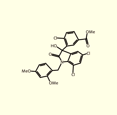 COC(=O)c1ccc(Cl)c(C2(O)C(=O)N(Cc3ccc(OC)cc3OC)c3c(Cl)cc(Cl)cc32)c1